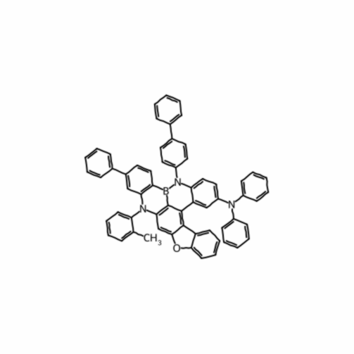 Cc1ccccc1N1c2cc(-c3ccccc3)ccc2B2c3c1cc1oc4ccccc4c1c3-c1cc(N(c3ccccc3)c3ccccc3)ccc1N2c1ccc(-c2ccccc2)cc1